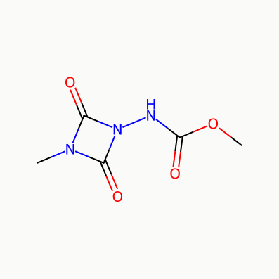 COC(=O)NN1C(=O)N(C)C1=O